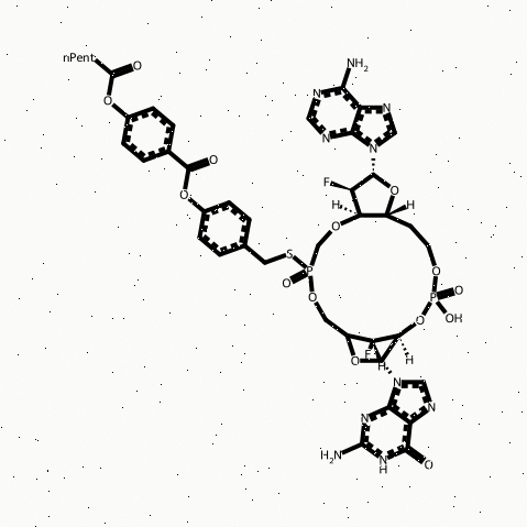 CCCCCC(=O)Oc1ccc(C(=O)Oc2ccc(CSP3(=O)CO[C@H]4[C@@H](F)[C@H](n5cnc6c(N)ncnc65)O[C@@H]4CCOP(=O)(O)O[C@@H]4[C@H](F)C(CO3)O[C@H]4n3cnc4c(=O)[nH]c(N)nc43)cc2)cc1